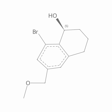 COCc1cc(Br)c2c(c1)CCC[C@@H]2O